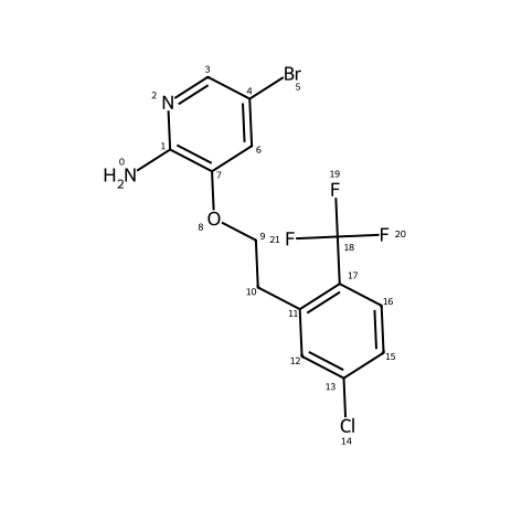 Nc1ncc(Br)cc1OCCc1cc(Cl)ccc1C(F)(F)F